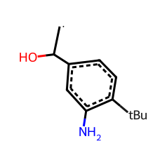 [CH2]C(O)c1ccc(C(C)(C)C)c(N)c1